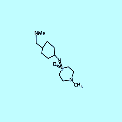 CNCC1CCC(N=S2(=O)CCN(C)CC2)CC1